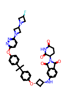 CC(C)(c1ccc(Oc2ccc(N3CC(N4CC(F)C4)C3)nn2)cc1)c1ccc(O[C@H]2C[C@H](Nc3ccc4c(c3)C(=O)N(C3CCC(=O)NC3=O)C4=O)C2)cc1